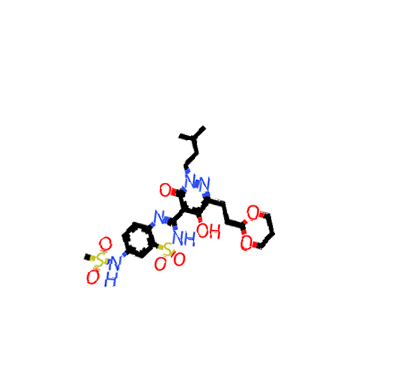 CC(C)CCn1nc(CCC2OCCCO2)c(O)c(C2=Nc3ccc(NS(C)(=O)=O)cc3S(=O)(=O)N2)c1=O